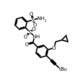 CC(C)(C)C#Cc1ccc(C(=O)NS(=O)(=O)c2ccccc2S(N)(=O)=O)cc1OCC1CC1